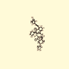 C[C@H](NC(=O)c1nc(C2=CCC=N2)cnc1N)c1nc2cccc(C#Cc3cnn(C)c3)c2c(=O)n1-c1ccccc1